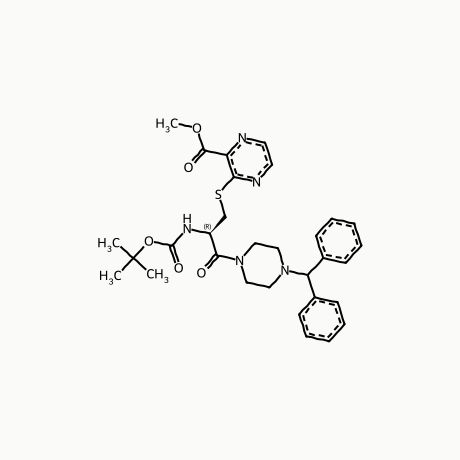 COC(=O)c1nccnc1SC[C@H](NC(=O)OC(C)(C)C)C(=O)N1CCN(C(c2ccccc2)c2ccccc2)CC1